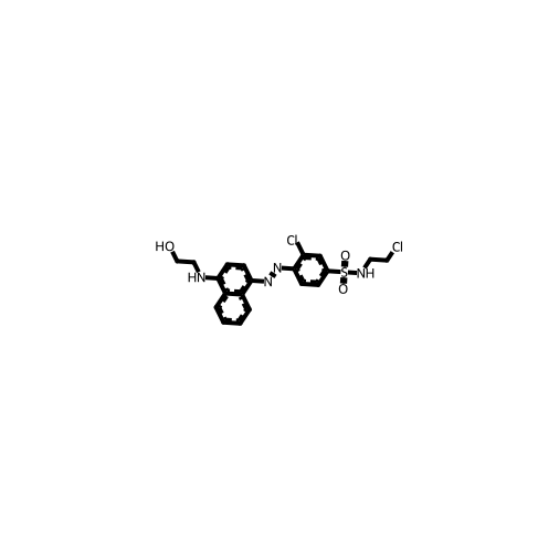 O=S(=O)(NCCCl)c1ccc(/N=N/c2ccc(NCCO)c3ccccc23)c(Cl)c1